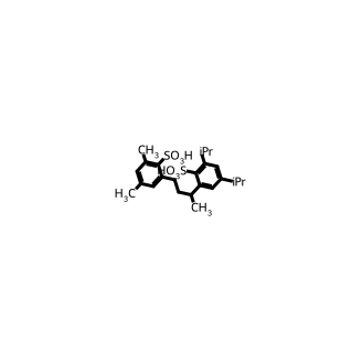 Cc1cc(C)c(S(=O)(=O)O)c(CCC(C)c2cc(C(C)C)cc(C(C)C)c2S(=O)(=O)O)c1